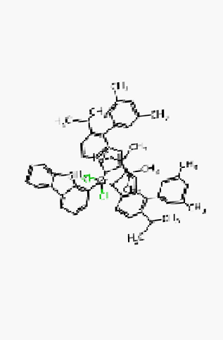 Cc1cc(C)cc(-c2c(C(C)C)ccc3c2C=C(C(C)C)[CH]3[Zr]([Cl])([Cl])([c]2cccc3c2[SiH2]c2ccccc2-3)[CH]2C(C(C)C)=Cc3c2ccc(C(C)C)c3-c2cc(C)cc(C)c2)c1